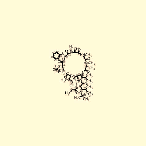 C=C1C(=O)N[C@@H](C)C(=O)N(C)[C@@H](C)C(=O)N[C@@H]([C@H](OC(=O)[C@@H](NC(=O)CC)[C@H](OC(C)(C)C)C(C)C)C(C)C)C(=O)N(C)[C@@H]([C@@H](C)OC)C(=O)O[C@H](C)[C@H](NC(C)=O)C(=O)O[C@H](Cc2ccccc2)C(=O)N1C